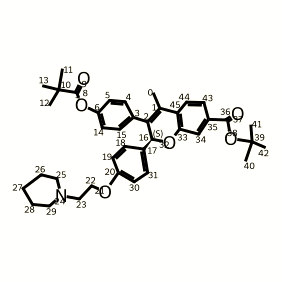 CC1=C(c2ccc(OC(=O)C(C)(C)C)cc2)[C@H](c2ccc(OCCN3CCCCC3)cc2)Oc2cc(C(=O)OC(C)(C)C)ccc21